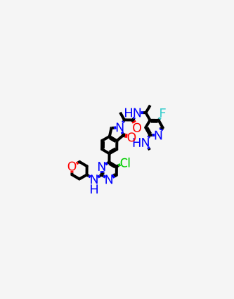 CNc1cc(C(C)NC(=O)C(C)N2Cc3ccc(-c4nc(NC5CCOCC5)ncc4Cl)cc3C2=O)c(F)cn1